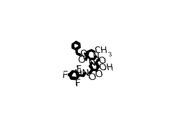 CC1CCC2(COC(Cc3ccccc3)O2)C2CN1C(=O)c1c(O)c(=O)c(C(=O)NCc3c(F)cc(F)cc3F)cn12